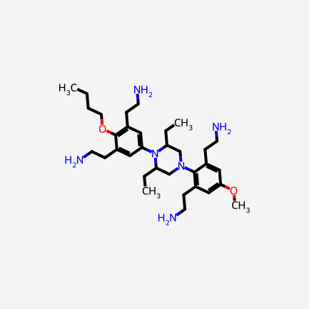 CCCCOc1c(CCN)cc(N2C(CC)CN(c3c(CCN)cc(OC)cc3CCN)CC2CC)cc1CCN